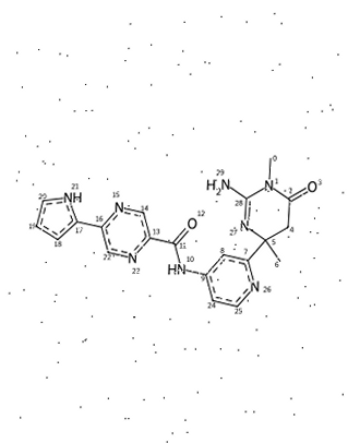 CN1C(=O)CC(C)(c2cc(NC(=O)c3cnc(-c4ccc[nH]4)cn3)ccn2)N=C1N